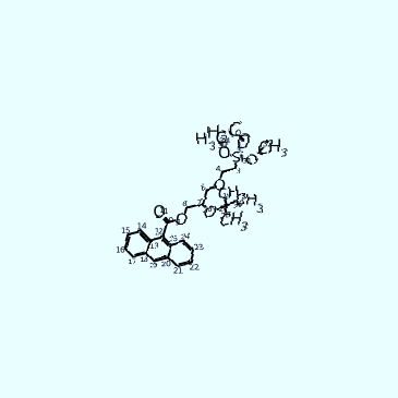 CO[Si](CCOCC(COC(=O)c1c2ccccc2cc2ccccc12)OC(C)(C)C)(OC)OC